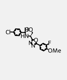 COc1ccc(-c2nnc([C@H](CO)NC(=O)c3ccc(Cl)cc3)o2)cc1F